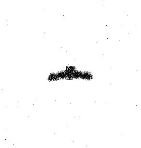 CC1(C)c2ccccc2-c2ccc(-c3ccc4c(c3)C(C)(C)c3cc(-c5c6ccccc6c(-c6ccc7c(c6)C(C)(C)c6cc(-c8ccc9c(c8)C(C)(C)c8ccccc8-9)ccc6-7)c6c5cnc5ccccc56)ccc3-4)cc21